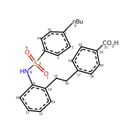 CCCCc1ccc(S(=O)(=O)Nc2ccccc2CCc2ccc(C(=O)O)cc2)cc1